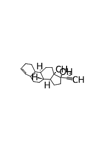 C#C[C@]1(O)CC[C@H]2[C@@H]3CCC4=C(CCC=C4)[C@H]3CC[C@@]21C